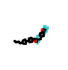 CCCCC1CCC(c2ccc(COC(F)(F)Cc3ccc(OC(F)(F)F)cc3)cc2)CC1